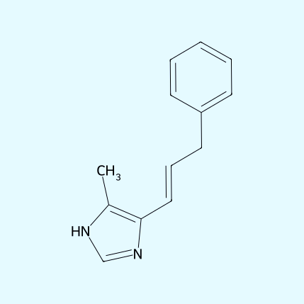 Cc1[nH]cnc1/C=C/Cc1ccccc1